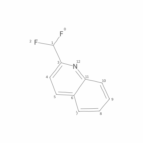 FC(F)c1ccc2[c]cccc2n1